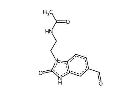 CC(=O)NCCn1c(=O)[nH]c2cc(C=O)ccc21